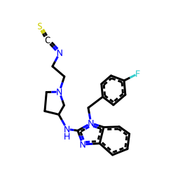 Fc1ccc(Cn2c(NC3CCN(CCN=C=S)C3)nc3ccccc32)cc1